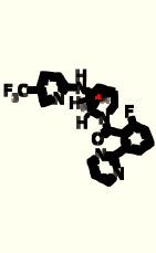 O=C(c1c(F)cccc1-c1ncccn1)N1CC2CC[C@H]1[C@H](Nc1ccc(C(F)(F)F)cn1)C2